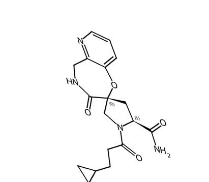 NC(=O)[C@@H]1C[C@]2(CN1C(=O)CCC1CC1)Oc1cccnc1CNC2=O